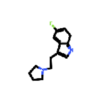 FC1=CCC2=NC=C(CCN3CCCC3)C2=C1